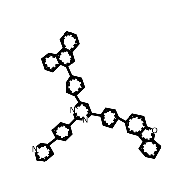 c1cncc(-c2ccc(-c3nc(-c4ccc(-c5ccc6oc7ccccc7c6c5)cc4)cc(-c4ccc(-c5cc6ccccc6c6ccccc56)cc4)n3)cc2)c1